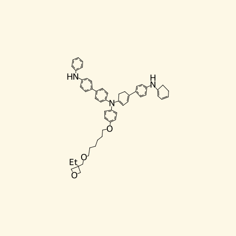 CCC1(COCCCCCCOc2ccc(N(C3=CC=C(c4ccc(NC5=CC=CCC5)cc4)CC3)c3ccc(-c4ccc(Nc5ccccc5)cc4)cc3)cc2)COC1